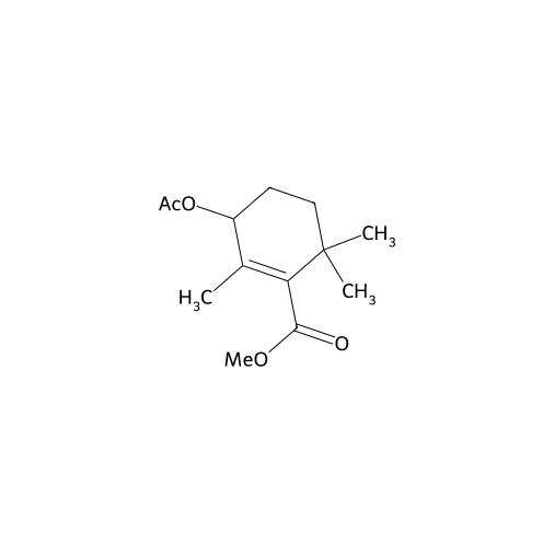 COC(=O)C1=C(C)C(OC(C)=O)CCC1(C)C